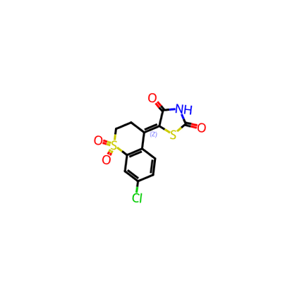 O=C1NC(=O)/C(=C2\CCS(=O)(=O)c3cc(Cl)ccc32)S1